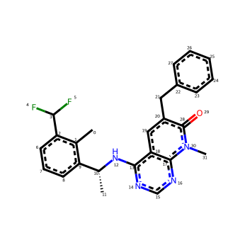 Cc1c(C(F)F)cccc1[C@@H](C)Nc1ncnc2c1cc(Cc1ccccc1)c(=O)n2C